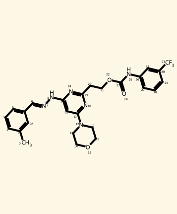 Cc1cccc(C=NNc2cc(N3CCOCC3)nc(CCOC(=O)Nc3cccc(C(F)(F)F)c3)n2)c1